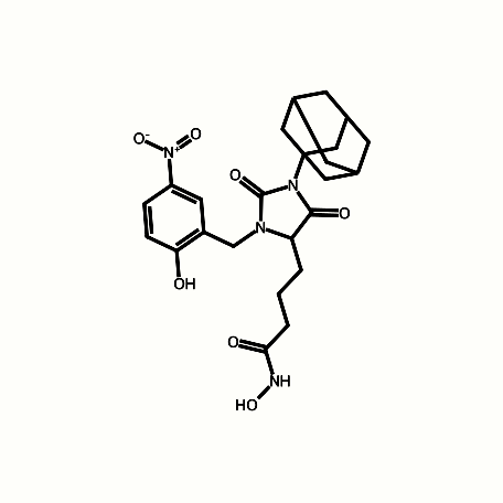 O=C(CCCC1C(=O)N(C23CC4CC(CC(C4)C2)C3)C(=O)N1Cc1cc([N+](=O)[O-])ccc1O)NO